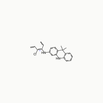 C=C/C(Cl)=C(\C=C)Nc1ccc2c(c1)Nc1ccccc1C2(C)C